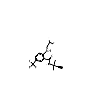 C#CC(C)(C)NC(=O)c1cc(C(F)(F)F)ccc1NCC(F)F